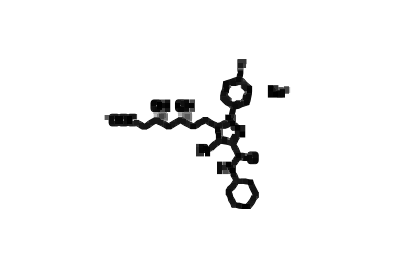 CC(C)c1c(C(=O)NC2CCCCC2)nn(-c2ccc(F)cc2)c1CC[C@@H](O)C[C@@H](O)CC(=O)[O-].[Na+]